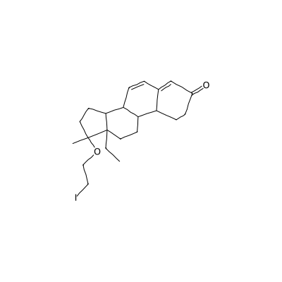 CCC12CCC3C4CCC(=O)C=C4C=CC3C1CCC2(C)OCCI